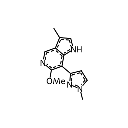 COc1ncc2c(C)c[nH]c2c1-c1ccn(C)n1